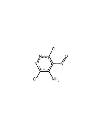 Nc1c(Cl)nnc(Cl)c1N=O